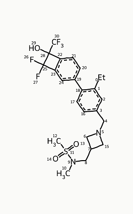 CCc1cc(CN2CC(CN(C)S(C)(=O)=O)C2)ccc1-c1ccc2c(c1)C(F)(F)C2(O)C(F)(F)F